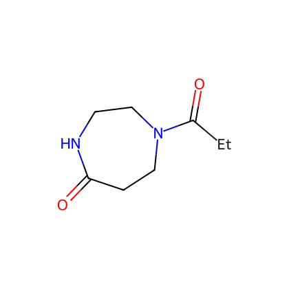 CCC(=O)N1CCNC(=O)CC1